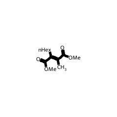 CCCCCCC(C(=O)OC)=C(C)C(=O)OC